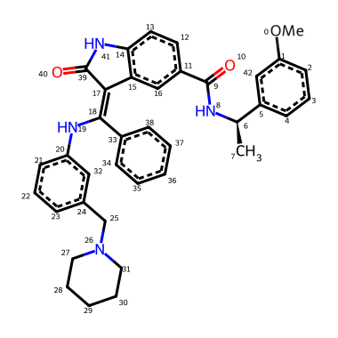 COc1cccc([C@@H](C)NC(=O)c2ccc3c(c2)/C(=C(/Nc2cccc(CN4CCCCC4)c2)c2ccccc2)C(=O)N3)c1